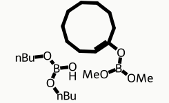 CCCCOB(O)OCCCC.COB(OC)OC1=CCCCCCCCC1